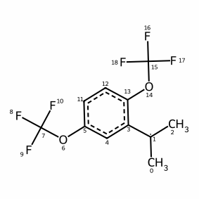 C[C](C)c1cc(OC(F)(F)F)ccc1OC(F)(F)F